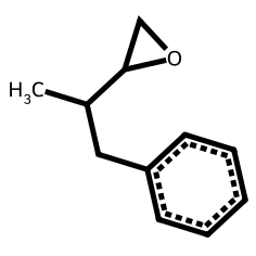 CC(Cc1ccccc1)C1CO1